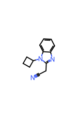 N#CCc1nc2ccccc2n1C1CCC1